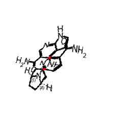 NC(=O)c1ccc(N2[C@@H]3CC[C@H]2C[C@H](Nc2c(C(N)=O)cnc4[nH]ccc24)C3)nc1